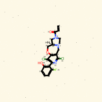 C=CC(=O)N1CCN2Cc3c(Cl)nc(-c4c(O)cccc4F)c(Cl)c3OC[C@H]2C1